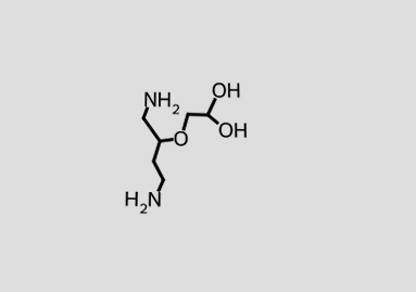 NCCC(CN)OCC(O)O